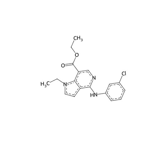 CCOC(=O)c1cnc(Nc2cccc(Cl)c2)c2ccn(CC)c12